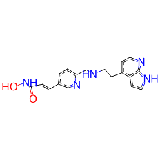 O=C(/C=C/c1ccc(CNCCc2ccnc3[nH]ccc23)nc1)NO